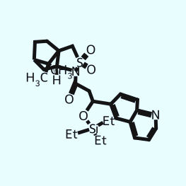 CC[Si](CC)(CC)OC(CC(=O)N1[C@@H]2CC3CCC2(CS1(=O)=O)C3(C)C)c1ccc2ncccc2c1